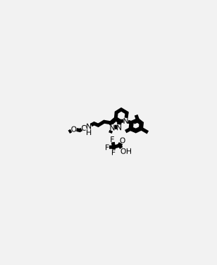 COCCNCCCc1c2c(nn1C)N(c1c(C)cc(C)cc1C)CCC2.O=C(O)C(F)(F)F